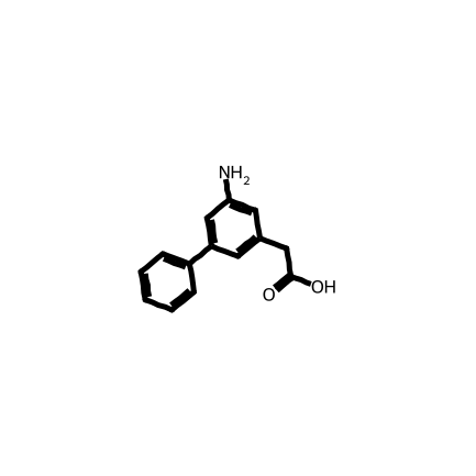 Nc1cc(CC(=O)O)cc(-c2ccccc2)c1